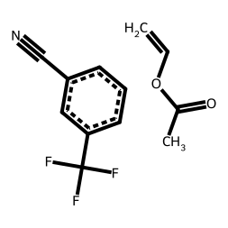 C=COC(C)=O.N#Cc1cccc(C(F)(F)F)c1